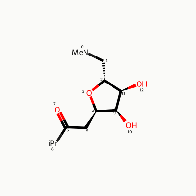 CNC[C@H]1O[C@H](CC(=O)C(C)C)[C@H](O)[C@@H]1O